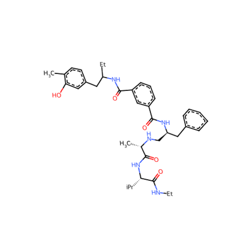 CCNC(=O)[C@@H](NC(=O)[C@H](C)NC[C@H](Cc1ccccc1)NC(=O)c1cccc(C(=O)NC(CC)Cc2ccc(C)c(O)c2)c1)C(C)C